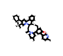 C=C1CC2C(CCc3cc4oc5nc(C)ccc5c4cc3-c3cc(C)cc[n+]31)c1ccccc1-c1cc(C3CCCCC3)c([Si](C)(C)C)c[n+]12